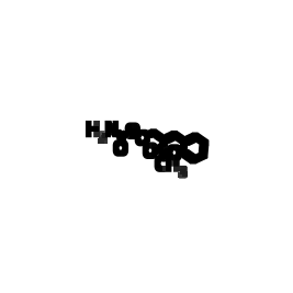 CS(=O)(=O)/C(=C\c1ccccc1)COOC(N)=O